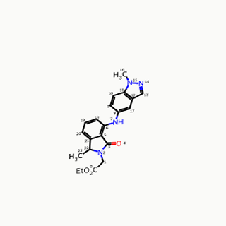 CCOC(=O)CN1C(=O)c2c(Nc3ccc4c(cnn4C)c3)cccc2C1C